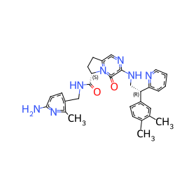 Cc1ccc([C@H](CNc2ncc3n(c2=O)[C@H](C(=O)NCc2ccc(N)nc2C)CC3)c2ccccn2)cc1C